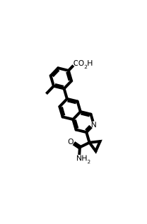 Cc1ccc(C(=O)O)cc1-c1ccc2cc(C3(C(N)=O)CC3)ncc2c1